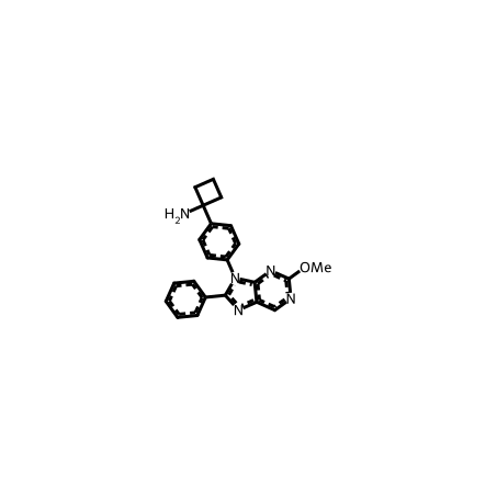 COc1ncc2nc(-c3ccccc3)n(-c3ccc(C4(N)CCC4)cc3)c2n1